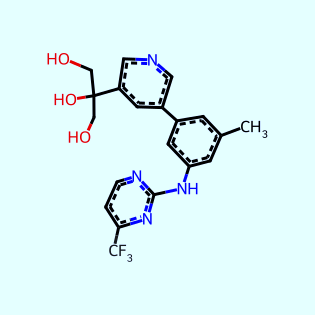 Cc1cc(Nc2nccc(C(F)(F)F)n2)cc(-c2cncc(C(O)(CO)CO)c2)c1